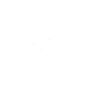 CC(C)(C)N1CCCC2(C1)OC(=O)CN2C(C)(C)C